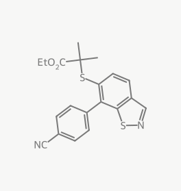 CCOC(=O)C(C)(C)Sc1ccc2cnsc2c1-c1ccc(C#N)cc1